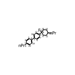 CCCc1ccc(-c2ccc(C3(F)CCC(CCC)CC3)cc2)cc1